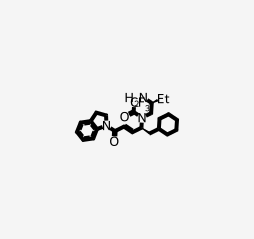 CC[C@H](N)CN(C(=O)C(F)(F)F)[C@H](/C=C/C(=O)N1CCc2ccccc21)CC1CCCCC1